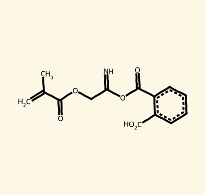 C=C(C)C(=O)OCC(=N)OC(=O)c1ccccc1C(=O)O